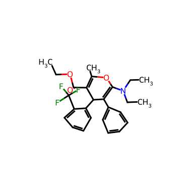 CCOC(=O)C1=C(C)OC(N(CC)CC)=C(c2ccccc2)C1c1ccccc1C(F)(F)F